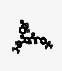 O=C(NCc1ccc(C(F)(F)F)cc1)c1cc(O[C@H]2CCN3C(=O)OC[C@@H]3C2)c(-c2cnn(C(F)F)c2)cn1